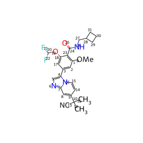 COc1cc(-c2cnc3cc(C(C)(C)C#N)ccn23)cc(OC(F)F)c1C(=O)NCC1CCC1